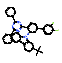 CC(C)(C)c1ccc2c3ccccc3n(-c3cc(-c4ccc(F)c(F)c4)ccc3-c3nc(-c4ccccc4)nc(-c4ccccc4)n3)c2c1